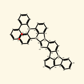 c1ccc(-c2ccccc2B2c3ccccc3-n3c4c2cccc4n2c4ccc5c(c6cccc7c8ccccc8n5c76)c4nc32)cc1